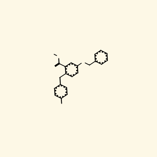 COC(=O)c1cc(OCc2ccccc2)ccc1Cc1ccc(F)cc1